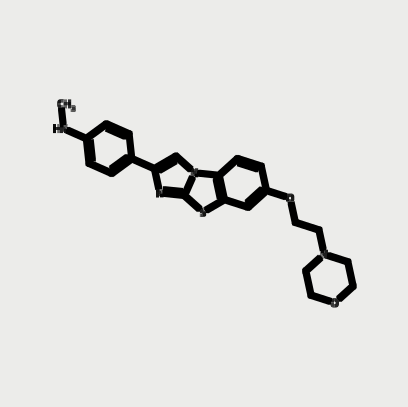 CNc1ccc(-c2cn3c(n2)sc2cc(OCCN4CCOCC4)ccc23)cc1